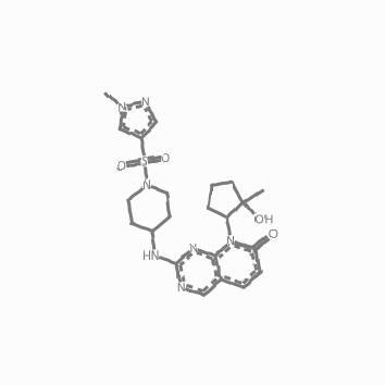 Cn1cc(S(=O)(=O)N2CCC(Nc3ncc4ccc(=O)n(C5CCCC5(C)O)c4n3)CC2)cn1